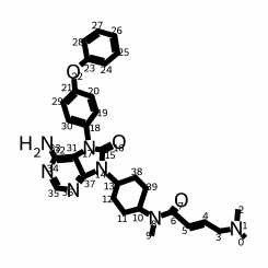 CN(C)CC=CC(=O)N(C)C1CCC(n2c(=O)n(-c3ccc(Oc4ccccc4)cc3)c3c(N)ncnc32)CC1